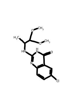 COC(OC)C(C)Nc1nc2ccc(Cl)cc2c(=O)[nH]1